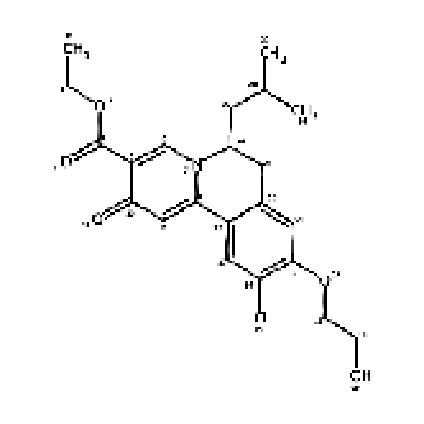 CCOC(=O)c1cn2c(cc1=O)-c1cc(Cl)c(OCCO)cc1CC2CC(C)C